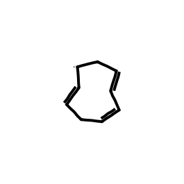 [CH]1/C=C/C/C=C\C=C\C1